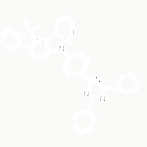 CC1(C)c2ccccc2-c2ccc3c(c21)C1C=CC=CC1(C)N3c1ccc(-c2nc(-c3ccccc3)nc(-c3ccccc3)n2)cc1